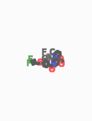 COc1cc(C(=O)N2CCC3(c4cccc(C(F)(F)F)n4)OCOC3C2)ccc1OCC1CC(F)(F)C1